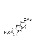 COc1ccc(CN2CCC(C)CC2)c(F)c1